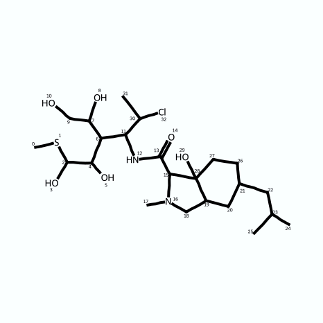 CSC(O)C(O)C(C(O)CO)C(NC(=O)C1N(C)CC2CC(CC(C)C)CCC21O)C(C)Cl